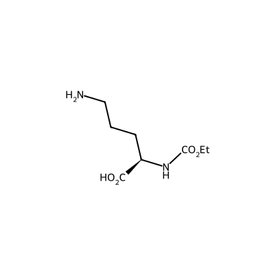 CCOC(=O)N[C@H](CCCN)C(=O)O